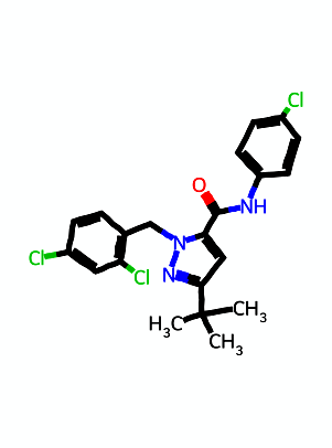 CC(C)(C)c1cc(C(=O)Nc2ccc(Cl)cc2)n(Cc2ccc(Cl)cc2Cl)n1